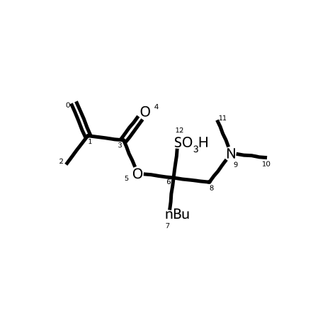 C=C(C)C(=O)OC(CCCC)(CN(C)C)S(=O)(=O)O